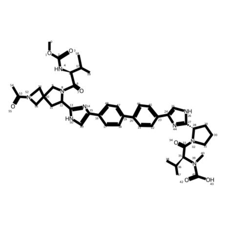 COC(=O)N[C@H](C(=O)N1CC2(CC1c1nc(-c3ccc(-c4ccc(-c5c[nH]c([C@@H]6CCCN6C(=O)[C@H](C(C)C)N(C)C(=O)O)n5)cc4)cc3)c[nH]1)CN(C(C)=O)C2)C(C)C